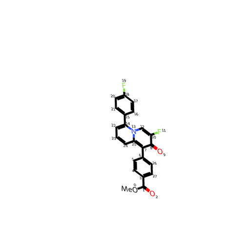 COC(=O)c1ccc(-c2c(=O)c(F)cn3c(-c4ccc(F)cc4)cccc23)cc1